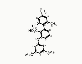 COc1cc(OC)nc(Oc2cccc(-c3c(C)cc(C)cc3C)c2C(=O)O)n1